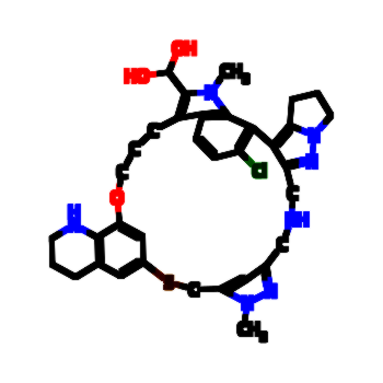 Cn1nc2cc1CSc1cc3c(c(c1)OCCCc1c(C(O)O)n(C)c4c(c(Cl)ccc14)-c1c(nn4c1CCC4)CNC2)NCCC3